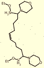 CCO[SiH2]C(CCC/C=C\CCCC([SiH2]OCC)N1CCOCC1)N1CCOCC1